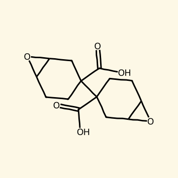 O=C(O)C1(C2(C(=O)O)CCC3OC3C2)CCC2OC2C1